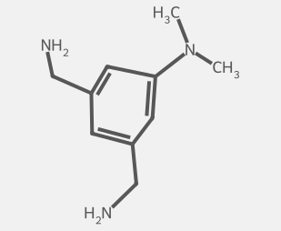 CN(C)c1cc(CN)cc(CN)c1